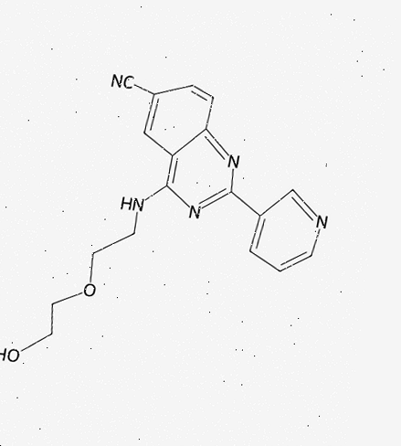 N#Cc1ccc2nc(-c3cccnc3)nc(NCCOCCO)c2c1